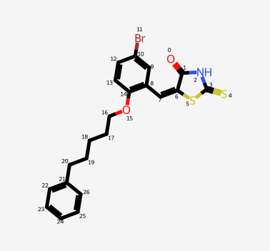 O=C1NC(=S)SC1=Cc1cc(Br)ccc1OCCCCCc1ccccc1